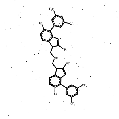 CCc1ccc2c(c1-c1cc(C(F)(F)F)cc(C(F)(F)F)c1)C=C(C(C)C)C2C[SiH2]CC1C(C(C)C)=Cc2c1ccc(CC)c2-c1cc(C(F)(F)F)cc(C(F)(F)F)c1